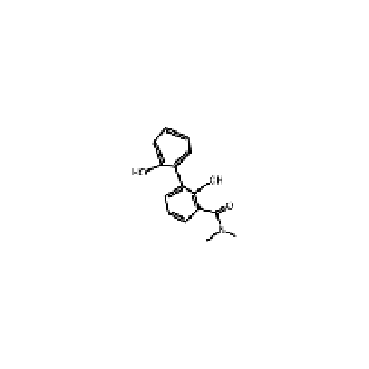 CN(C)C(=O)c1cccc(-c2ccccc2O)c1O